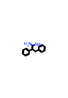 NC(N)=C(Cc1ccccc1)c1ccccc1